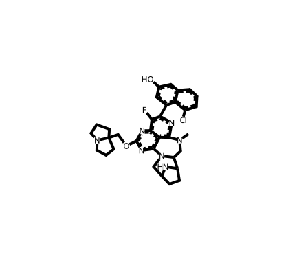 CN1CC2C3CCC(CN2c2nc(OCC45CCCN4CCC5)nc4c(F)c(-c5cc(O)cc6cccc(Cl)c56)nc1c24)N3